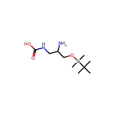 CC(C)(C)[Si](C)(C)OCC(N)CNC(=O)O